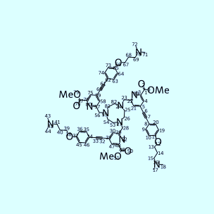 COC(=O)c1cc(C#Cc2ccc(OCCCN(C)C)cc2)cc(CN2CCN(Cc3cc(C#Cc4ccc(OCCCN(C)C)cc4)cc(C(=O)OC)n3)CCN(Cc3cc(C#Cc4ccc(OCCCN(C)C)cc4)cc(C(=O)OC)n3)CC2)n1